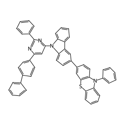 c1ccc(-c2ccc(-c3cc(-n4c5ccccc5c5cc(-c6ccc7c(c6)Sc6ccccc6N7c6ccccc6)ccc54)nc(-c4ccccc4)n3)cc2)cc1